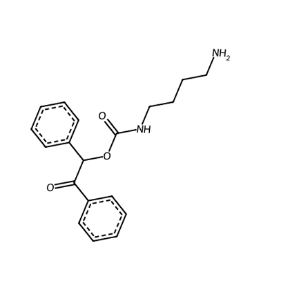 NCCCCNC(=O)OC(C(=O)c1ccccc1)c1ccccc1